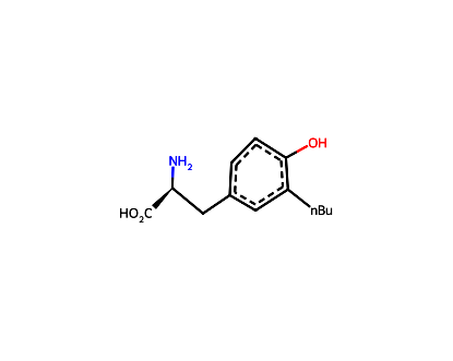 CCCCc1cc(C[C@H](N)C(=O)O)ccc1O